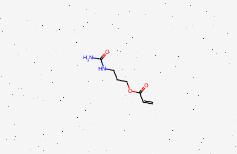 C=CC(=O)OCCCNC(N)=O